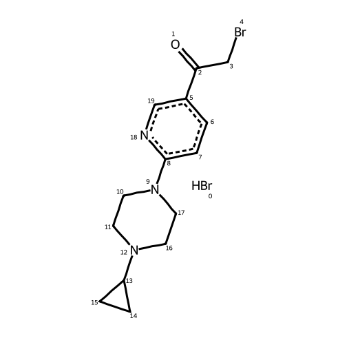 Br.O=C(CBr)c1ccc(N2CCN(C3CC3)CC2)nc1